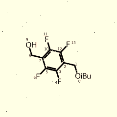 CC(C)COCc1c(F)c(F)c(CO)c(F)c1F